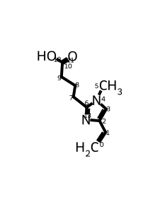 C=Cc1cn(C)c(CCCC(=O)O)n1